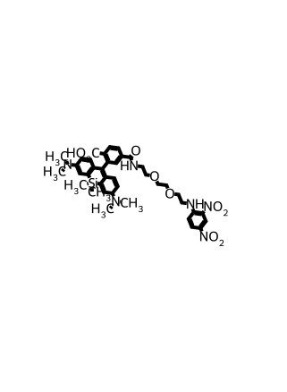 CN(C)c1ccc2c(c1)[Si](C)(C)C1=CC(N(C)C)C=CC1=C2c1cc(C(=O)NCCOCCOCCNc2ccc([N+](=O)[O-])cc2[N+](=O)[O-])ccc1C(=O)O